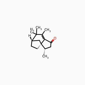 CC1=C2C(=O)C[C@H](C)[C@]23CC[C@@H](C3)C1(C)C